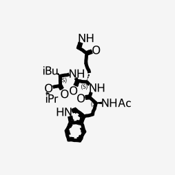 CCC(C)[C@H](NC(=O)[C@H](CCC(=O)C=N)NC(=O)[C@H](Cc1c[nH]c2ccccc12)NC(C)=O)C(=O)OC(C)C